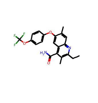 CCc1nc2cc(C)c(Oc3ccc(OC(F)(F)F)cc3)cc2c(C(N)=O)c1C